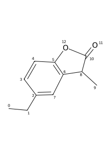 CCc1ccc2c(c1)C(C)C(=O)O2